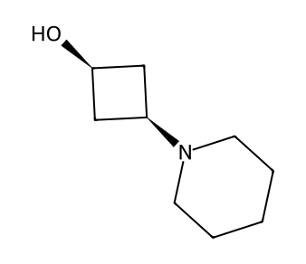 O[C@H]1C[C@@H](N2CCCCC2)C1